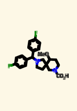 COC1CCN(C(=O)O)CC12CCN(C(c1ccc(F)cc1)c1ccc(F)cc1)C2